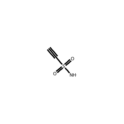 C#CS([NH])(=O)=O